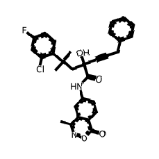 Cc1noc(=O)c2ccc(NC(=O)C(O)(C#CCc3ccccc3)CC(C)(C)c3ccc(F)cc3Cl)cc12